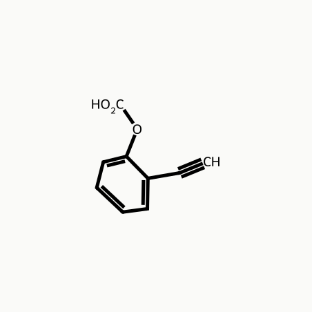 C#Cc1ccccc1OC(=O)O